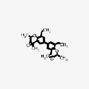 CCc1cc(-c2cc(CC)c(OC(C)C3CO3)c(CC)c2)cc(CC)c1OC(C)C1CO1